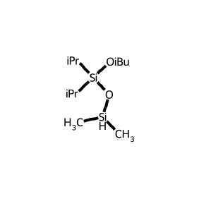 CC(C)CO[Si](O[SiH](C)C)(C(C)C)C(C)C